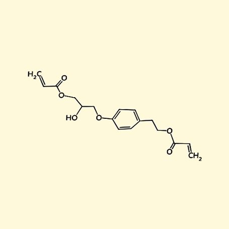 C=CC(=O)OCCc1ccc(OCC(O)COC(=O)C=C)cc1